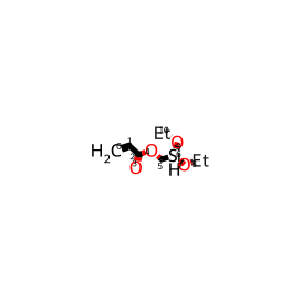 C=CC(=O)OC[SiH](OCC)OCC